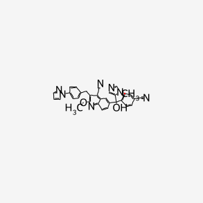 COc1nc2ccc(C(O)(c3ccc(C#N)cc3)c3cncn3C)cc2c(C#N)c1Cc1ccc(-n2cccn2)cc1